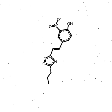 CCCc1nc(/C=C/c2ccc(O)c([N+](=O)[O-])c2)no1